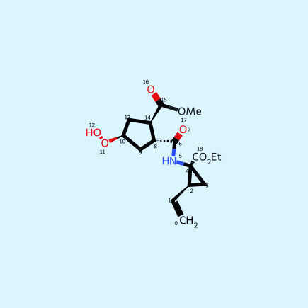 C=C[C@@H]1C[C@]1(NC(=O)[C@@H]1C[C@@H](OO)C[C@H]1C(=O)OC)C(=O)OCC